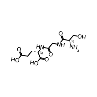 N[C@@H](CO)C(=O)NCC(=O)N[C@@H](CCC(=O)O)C(=O)O